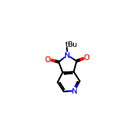 CC(C)(C)N1C(=O)c2ccncc2C1=O